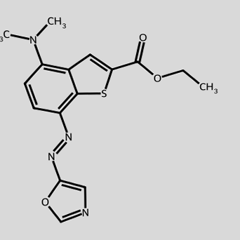 CCOC(=O)c1cc2c(N(C)C)ccc(/N=N/c3cnco3)c2s1